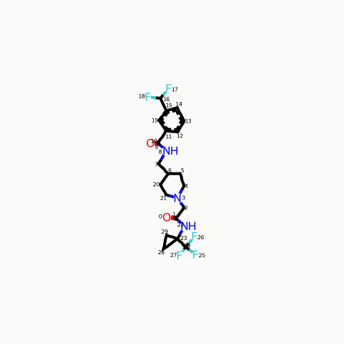 O=C(CN1CCC(CNC(=O)c2cccc(C(F)F)c2)CC1)NC1(C(F)(F)F)CC1